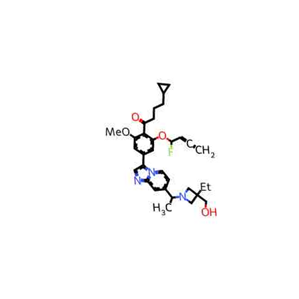 C=C=CC(F)Oc1cc(-c2cnc3cc(C(C)N4CC(CC)(CO)C4)ccn23)cc(OC)c1C(=O)CCCC1CC1